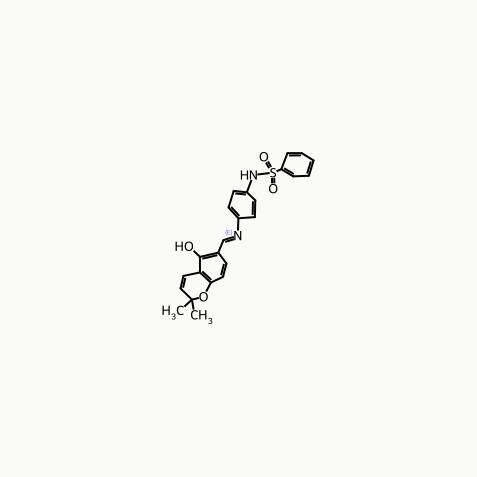 CC1(C)C=Cc2c(ccc(/C=N/c3ccc(NS(=O)(=O)c4ccccc4)cc3)c2O)O1